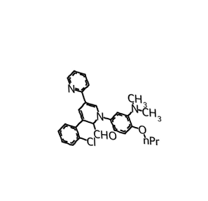 CCCOc1ccc(N2C=C(c3ccccn3)C=C(c3ccccc3Cl)C2C=O)cc1N(C)C